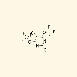 FC(F)(F)Oc1nc(Cl)nc(OC(F)(F)F)c1Cl